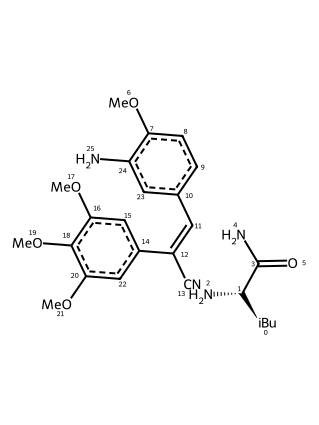 CC[C@H](C)[C@H](N)C(N)=O.COc1ccc(C=C(C#N)c2cc(OC)c(OC)c(OC)c2)cc1N